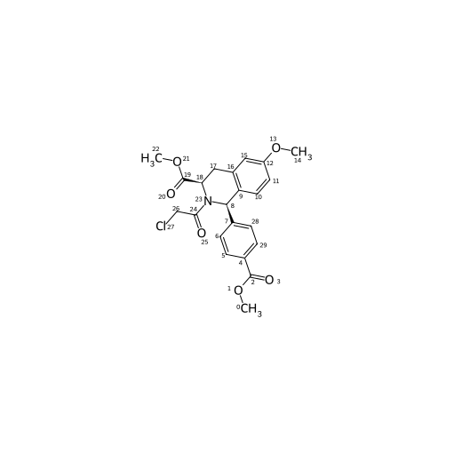 COC(=O)c1ccc([C@@H]2c3ccc(OC)cc3C[C@H](C(=O)OC)N2C(=O)CCl)cc1